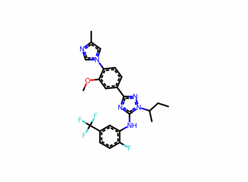 CCC(C)n1nc(-c2ccc(-n3cnc(C)c3)c(OC)c2)nc1Nc1cc(C(F)(F)F)ccc1F